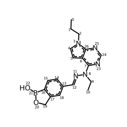 CCCn1ccc2c(N(CC)/N=C/c3ccc4c(c3)COB4O)ncnc21